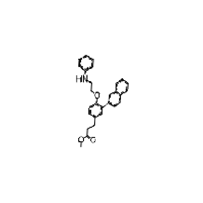 COC(=O)CCc1ccc(OCCNc2ccccc2)c(-c2ccc3ccccc3c2)c1